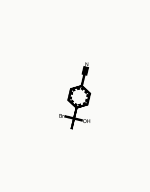 CC(O)(Br)c1ccc(C#N)cc1